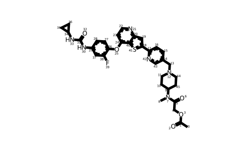 CC(=O)OCC(=O)N(C)C1CCN(Cc2ccc(-c3cc4nccc(Oc5ccc(NC(=O)NC6CC6)cc5F)c4s3)nc2)CC1